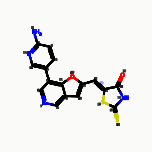 Nc1ccc(-c2cncc3cc(/C=C4\SC(=S)NC4=O)oc23)cn1